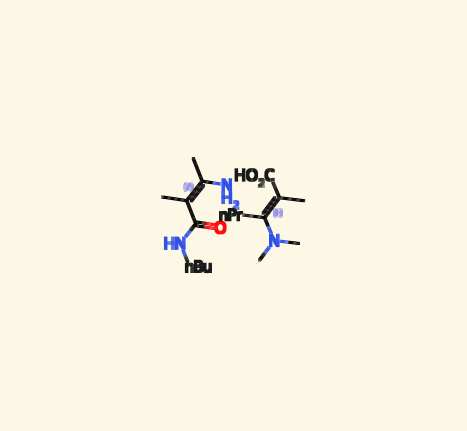 CCC/C(=C(/C)C(=O)O)N(C)C.CCCCNC(=O)/C(C)=C(/C)N